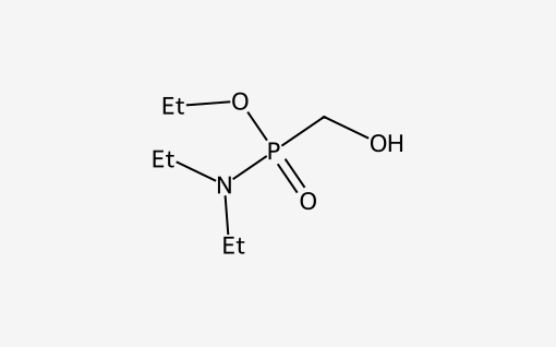 CCOP(=O)(CO)N(CC)CC